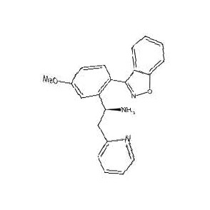 COc1ccc(-c2noc3ccccc23)c([C@@H](N)Cc2ccccn2)c1